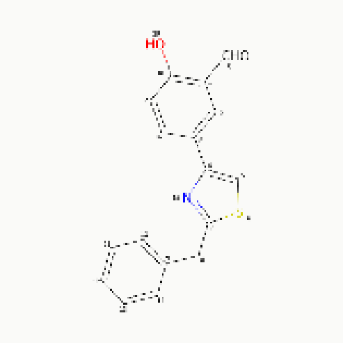 O=Cc1cc(-c2csc(Cc3ccccc3)n2)ccc1O